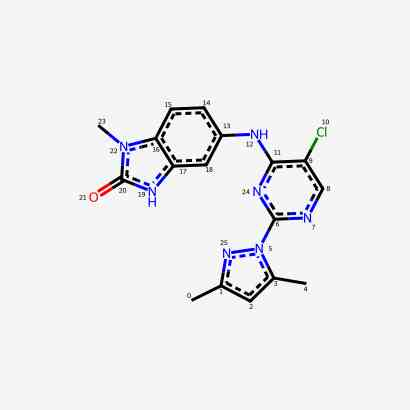 Cc1cc(C)n(-c2ncc(Cl)c(Nc3ccc4c(c3)[nH]c(=O)n4C)n2)n1